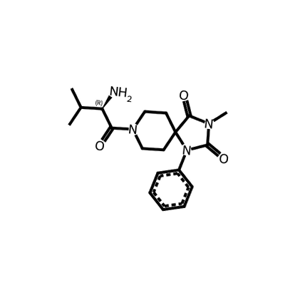 CC(C)[C@@H](N)C(=O)N1CCC2(CC1)C(=O)N(C)C(=O)N2c1ccccc1